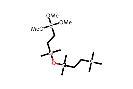 CO[Si](CC[Si](C)(C)O[Si](C)(C)CC[Si](C)(C)C)(OC)OC